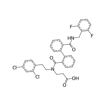 O=C(O)CCN(CCc1ccc(Cl)cc1Cl)C(=O)c1ccccc1-c1ccccc1C(=O)NCc1c(F)cccc1F